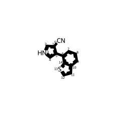 N#Cc1c[nH]cc1-c1cccc2ccsc12